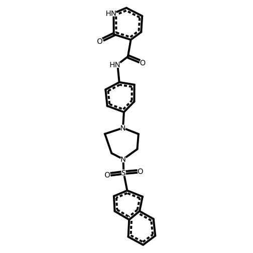 O=C(Nc1ccc(N2CCN(S(=O)(=O)c3ccc4ccccc4c3)CC2)cc1)c1ccc[nH]c1=O